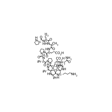 CC(C)[C@H](NC(=O)[C@@H](NC(=O)[C@@H]1CCCN1C(=O)[C@@H](NC(=O)[C@@H]1CCCN1C(=O)[C@H](CCC(=O)O)NC(=O)[C@H](C)NC(=O)[C@H](C)NC(=O)[C@@H]1CCCN1)C(C)C)C(C)C)C(=O)N[C@@H](CCCCN)C(=O)N[C@@H](CCC(N)=O)C(=O)N[C@@H](CC(=O)O)C(=O)O